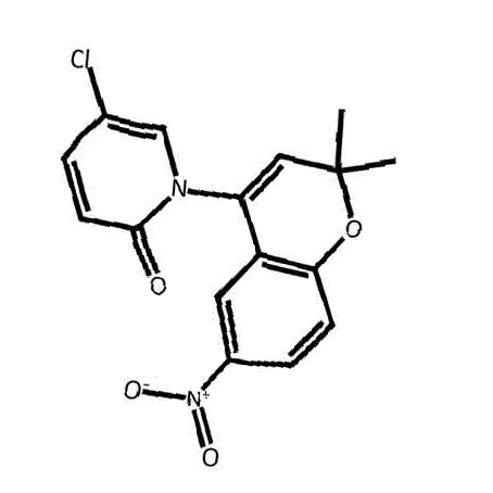 CC1(C)C=C(n2cc(Cl)ccc2=O)c2cc([N+](=O)[O-])ccc2O1